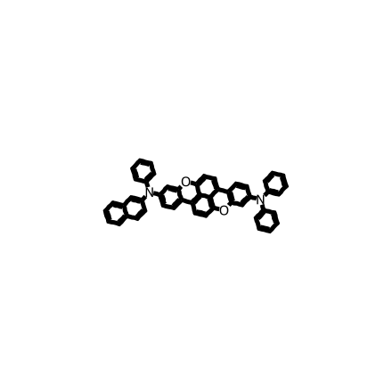 c1ccc(N(c2ccccc2)c2ccc3c(c2)Oc2ccc4c5c(ccc-3c25)Oc2cc(N(c3ccccc3)c3ccc5ccccc5c3)ccc2-4)cc1